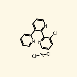 Clc1cccnc1-c1ncccc1-c1ccccn1.[Cl][Pt][Cl]